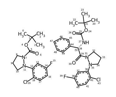 CC(C)(C)OC(=O)N1CCCN1c1cc(F)ccc1Cl.CC(C)(C)OC(=O)N[C@H](C(=O)N1CCCN1c1cc(F)ccc1Cl)c1ccccc1